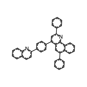 c1ccc(-c2cc(-c3ccc(-c4ccc5ccccc5n4)cc3)c3cc(-c4ccccc4)c4ccccc4c3n2)cc1